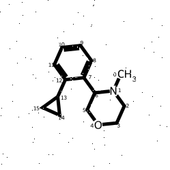 CN1CCOCC1c1ccccc1C1CC1